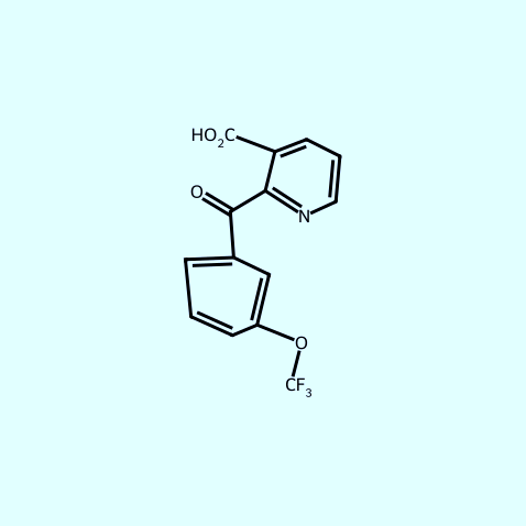 O=C(O)c1cccnc1C(=O)c1cccc(OC(F)(F)F)c1